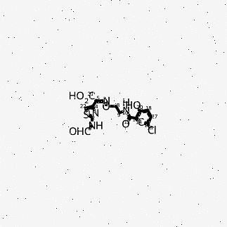 O=CNc1nc(C(=NOCCNC(=O)c2cc(Cl)ccc2O)C(=O)O)cs1